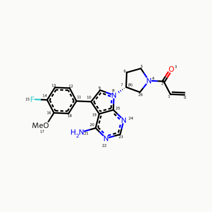 C=CC(=O)N1CC[C@@H](n2cc(-c3ccc(F)c(OC)c3)c3c(N)ncnc32)C1